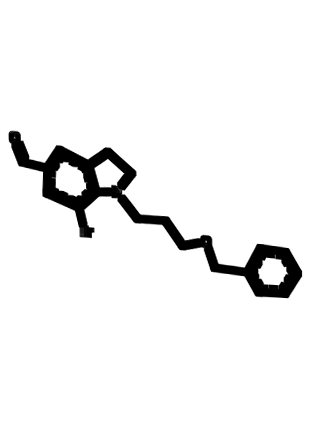 O=Cc1cc(Br)c2c(c1)CCN2CCCOCc1ccccc1